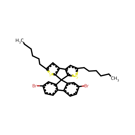 CCCCCCc1cc2c(s1)C1(c3cc(Br)ccc3-c3ccc(Br)cc31)c1sc(CCCCCC)cc1-2